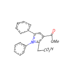 COC(=O)c1cc(-c2ccccc2)n(-c2ccccc2)c1CC(=O)O